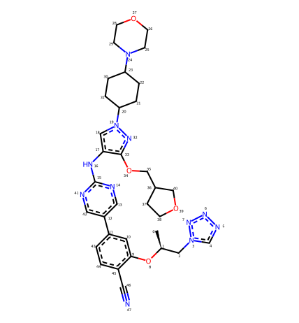 C[C@@H](Cn1cnnn1)Oc1cc(-c2cnc(Nc3cn(C4CCC(N5CCOCC5)CC4)nc3OCC3CCOC3)nc2)ccc1C#N